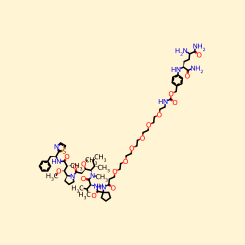 CC[C@H](C)[C@@H]([C@@H](CC(=O)N1CCC[C@H]1[C@H](OC)[C@@H](C)C(=O)N[C@@H](Cc1ccccc1)c1nccs1)OC)N(C)C(=O)[C@@H](NC(=O)C1(NC(=O)CCOCCOCCOCCOCCOCCOCCNC(=O)OCc2ccc(N[C@@H](CCC(N)C(N)=O)C(N)=O)cc2)CCCC1)C(C)C